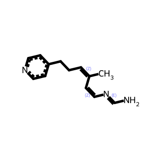 CC(/C=C\N=C\N)=C/CCc1ccncc1